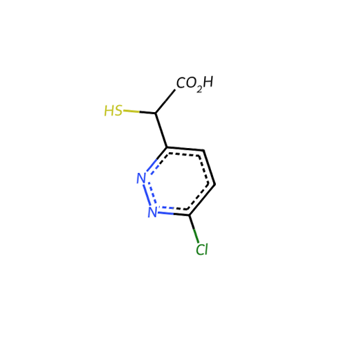 O=C(O)C(S)c1ccc(Cl)nn1